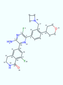 Nc1nc(F)c(-c2ccc(C3CCOCC3)c(CN3CCC3)c2)nc1-c1cc(F)c2c(c1)CCNC2=O